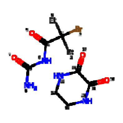 CCC(Br)(CC)C(=O)NC(N)=O.O=C1NCCNC1=O